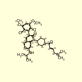 COc1cc(OC)c(Cl)c(-c2cc3cnc(NC(C)C)cc3n(C3CCN(C(=O)C=CCN(C)C)CC3)c2=O)c1Cl